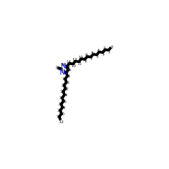 CCCCCCCCCCCCCCCc1cc(CCCCCCCCCCCCCCC)nc(C)n1